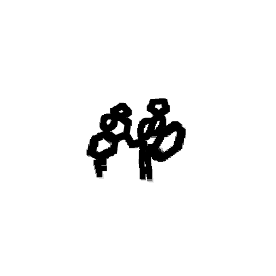 O=C(CC1CC2(CCC2)Oc2ccc(F)cc21)Nc1ccccc1OC1CCCC1